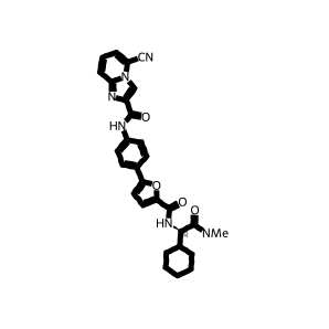 CNC(=O)[C@@H](NC(=O)c1ccc(-c2ccc(NC(=O)c3cn4c(C#N)cccc4n3)cc2)o1)C1CCCCC1